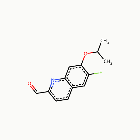 CC(C)Oc1cc2nc(C=O)ccc2cc1F